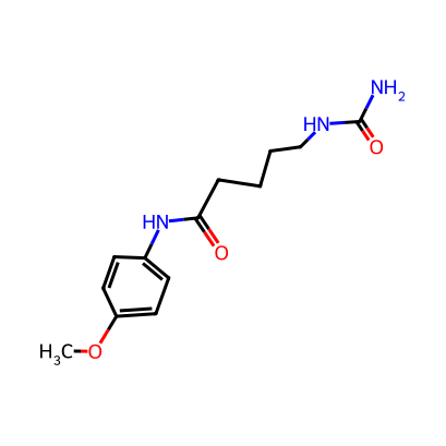 COc1ccc(NC(=O)CCCCNC(N)=O)cc1